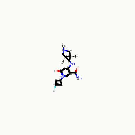 CN1C[C@@H]2C(Nc3cc(=O)n(C45CC(F)(C4)C5)cc3C(N)=O)[C@@H]2C1